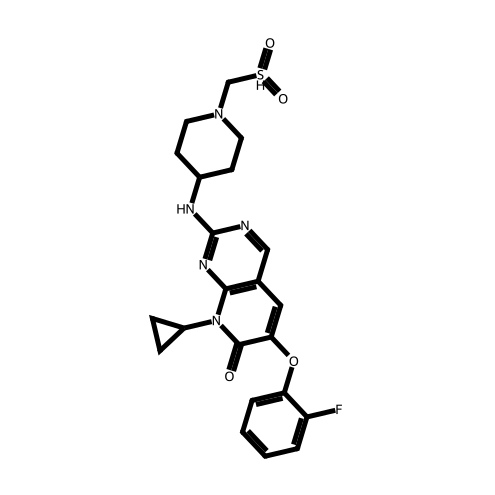 O=c1c(Oc2ccccc2F)cc2cnc(NC3CCN(C[SH](=O)=O)CC3)nc2n1C1CC1